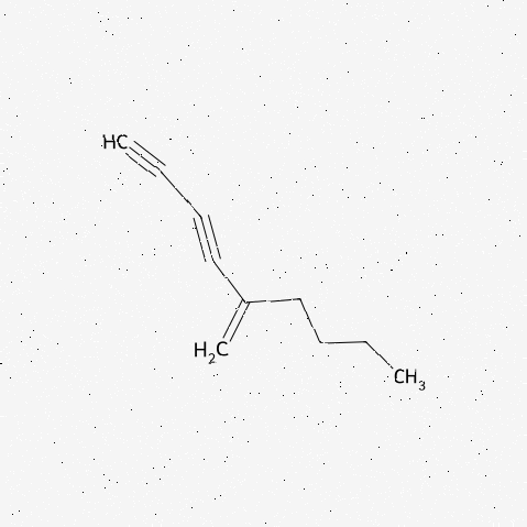 C#CC#CC(=C)CCCC